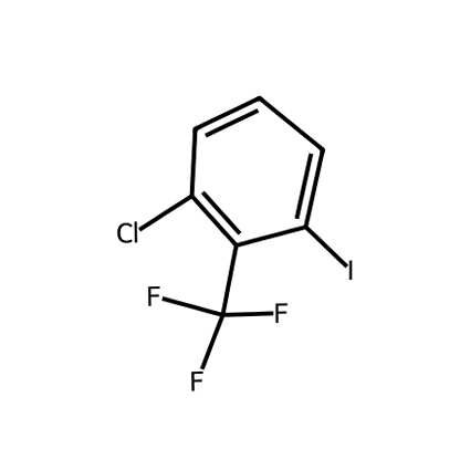 FC(F)(F)c1c(Cl)cccc1I